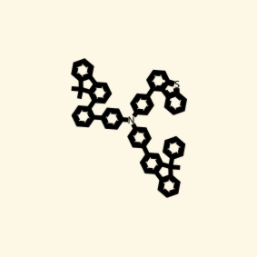 CC1(C)c2ccccc2-c2cccc(-c3ccccc3-c3ccc(N(c4ccc(-c5ccc6c(c5)C(C)(c5ccccc5)c5ccccc5-6)cc4)c4ccc(-c5cccc6sc7ccccc7c56)cc4)cc3)c21